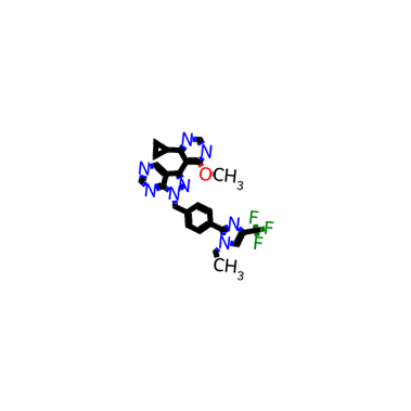 CCn1cc(C(F)(F)F)nc1-c1ccc(Cn2nc(-c3c(OC)ncnc3C3CC3)c3cncnc32)cc1